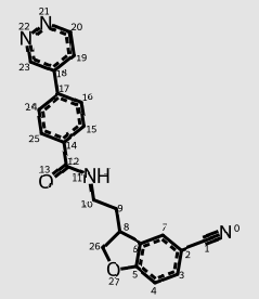 N#Cc1ccc2c(c1)C(CCNC(=O)c1ccc(-c3ccnnc3)cc1)CO2